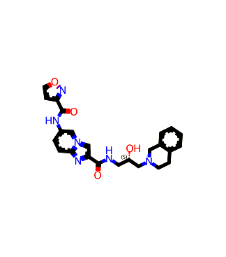 O=C(NC[C@H](O)CN1CCc2ccccc2C1)c1cn2cc(NC(=O)c3ccon3)ccc2n1